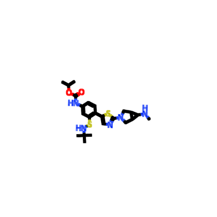 CNC1C2CN(c3ncc(-c4ccc(NC(=O)OC(C)C)cc4SNC(C)(C)C)s3)CC21